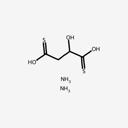 N.N.OC(=S)CC(O)C(O)=S